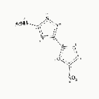 CC(=O)Nc1nc(-c2ccc([N+](=O)[O-])o2)cs1